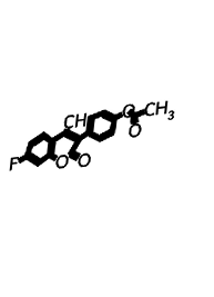 CC(=O)Oc1ccc(-c2c(C)c3ccc(F)cc3oc2=O)cc1